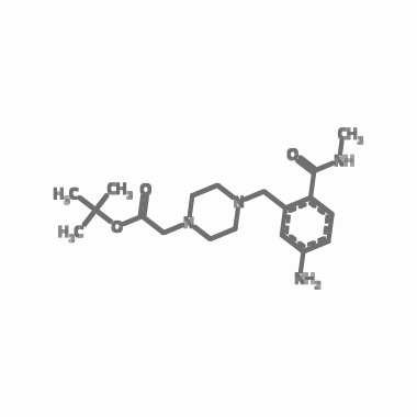 CNC(=O)c1ccc(N)cc1CN1CCN(CC(=O)OC(C)(C)C)CC1